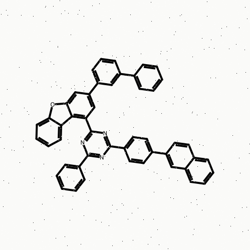 c1ccc(-c2cccc(-c3cc(-c4nc(-c5ccccc5)nc(-c5ccc(-c6ccc7ccccc7c6)cc5)n4)c4c(c3)oc3ccccc34)c2)cc1